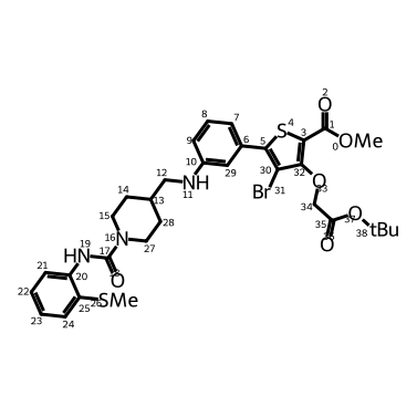 COC(=O)c1sc(-c2cccc(NCC3CCN(C(=O)Nc4ccccc4SC)CC3)c2)c(Br)c1OCC(=O)OC(C)(C)C